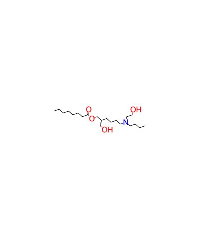 CCCCCCCC(=O)OCC(CO)CCCCN(CCO)CCCC